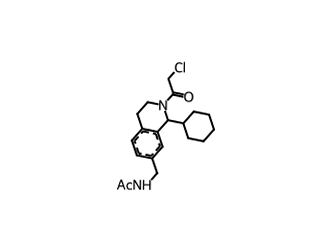 CC(=O)NCc1ccc2c(c1)C(C1CCCCC1)N(C(=O)CCl)CC2